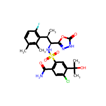 Cc1ccc(F)c([C@@H](C)[C@H](NS(=O)(=O)c2cc(C(C)(C)O)c(Cl)cc2C(N)=O)c2n[nH]c(=O)o2)c1C